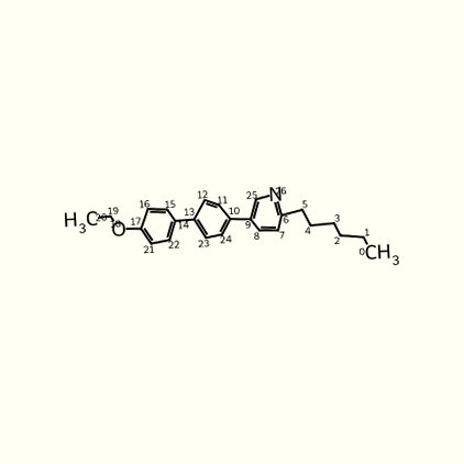 CCCCCCc1ccc(-c2ccc(-c3ccc(OCC)cc3)cc2)cn1